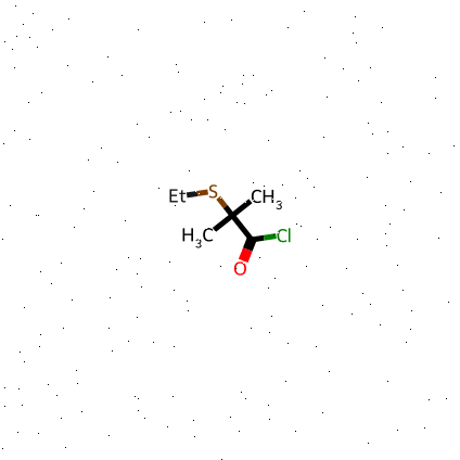 CCSC(C)(C)C(=O)Cl